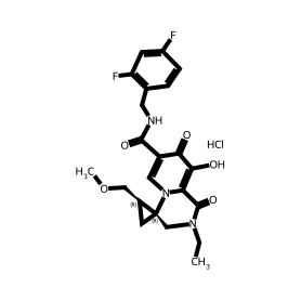 CCN1C[C@]2(C[C@H]2COC)n2cc(C(=O)NCc3ccc(F)cc3F)c(=O)c(O)c2C1=O.Cl